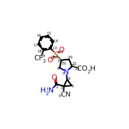 N#CC1(C(N)=O)CC1N1C[C@@H](S(=O)(=O)c2ccccc2C(F)(F)F)C[C@H]1C(=O)O